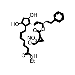 CCNC(=O)CCC/C=C\C[C@@H]1[C@@H](/C=C/[C@H](CCc2ccccc2)OC(=O)C2CC2CO[N+](=O)[O-])[C@H](O)C[C@@H]1O